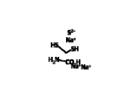 NC(=O)O.SCS.[Na+].[Na+].[Na+].[S-2]